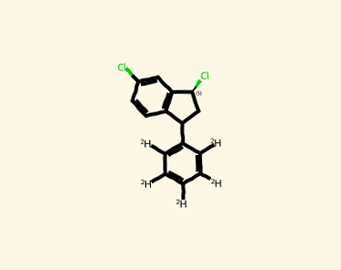 [2H]c1c([2H])c([2H])c(C2C[C@H](Cl)c3cc(Cl)ccc32)c([2H])c1[2H]